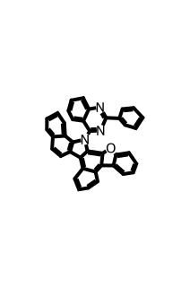 c1ccc(-c2nc(-n3c4c5ccccc5ccc4c4c5ccccc5c5c6ccccc6oc5c43)c3ccccc3n2)cc1